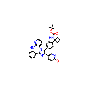 COc1ccc(-c2nc3n(c2-c2ccc(C4(NC(=O)OC(C)(C)C)CCC4)cc2)-c2cccnc2Nc2ccccc2-3)cn1